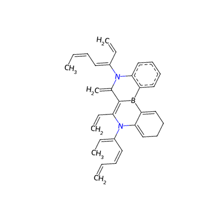 C=C/C=C\C(=C/C)N1C2=CCCC=C2B2C(=C1C=C)C(=C)N(/C(C=C)=C/C=C\C)c1ccccc12